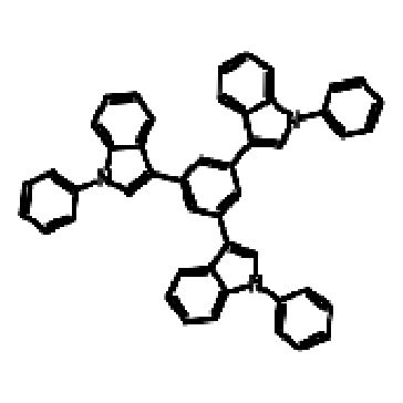 c1ccc(-n2cc(-c3cc(-c4cn(-c5ccccc5)c5ccccc45)cc(-c4cn(-c5ccccc5)c5ccccc45)c3)c3ccccc32)cc1